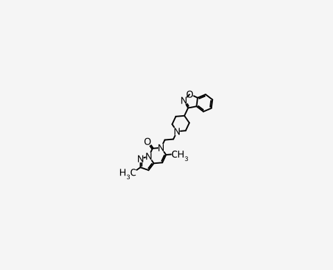 Cc1cc2cc(C)n(CCN3CCC(c4noc5ccccc45)CC3)c(=O)n2n1